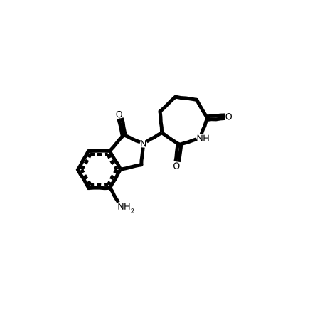 Nc1cccc2c1CN(C1CCCC(=O)NC1=O)C2=O